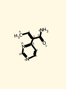 C/C=C(/C(N)=O)c1ccncn1